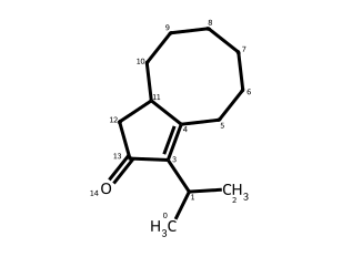 CC(C)C1=C2CCCCCCC2CC1=O